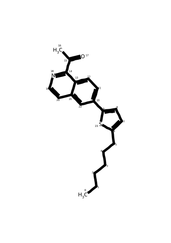 CCCCCCc1ccc(-c2ccc3c(C(C)=O)nccc3c2)s1